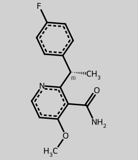 COc1ccnc([C@@H](C)c2ccc(F)cc2)c1C(N)=O